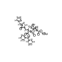 CC(C)(C)OC(=O)N[C@@H]1C(=O)N2C(C(=O)OC(c3ccccc3)c3ccccc3)=C(/C=C3\CCN(Cc4cccs4)C3=O)C[S+]([O-])[C@H]12